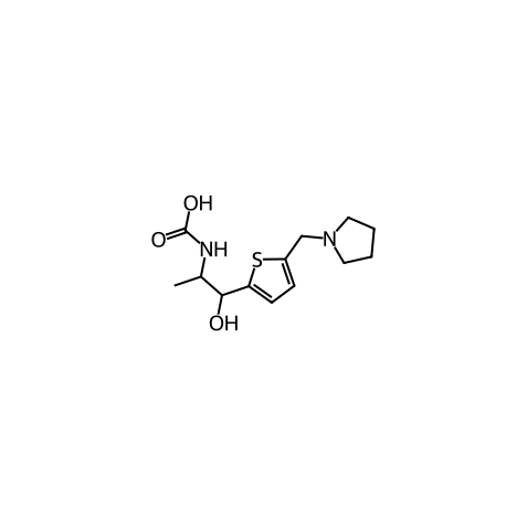 CC(NC(=O)O)C(O)c1ccc(CN2CCCC2)s1